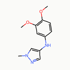 COc1ccc(Nc2cnn(C)c2)cc1OC